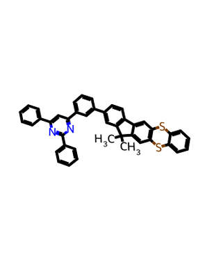 CC1(C)c2cc(-c3cccc(-c4cc(-c5ccccc5)nc(-c5ccccc5)n4)c3)ccc2-c2cc3c(cc21)Sc1ccccc1S3